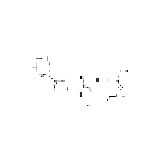 CC(=O)OC(C(=O)O)[C@@]1(C)OCCN(c2ccn(-c3ccnnc3)n2)C1=O